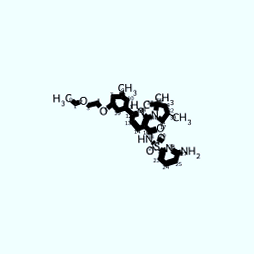 CCOCCOC1CC(C)CC(c2ccc(C(=O)NS(=O)(=O)c3cccc(N)n3)c(N3C[C@@H](C)CC3(C)C)n2)C1